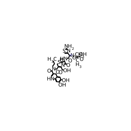 CCCCN(CC1=C(C(=O)O)N2C(=O)C(NC(=O)/C(=N\OC(C)(C)C(=O)O)c3csc(N)n3)[C@@H]2SC1)C(=O)c1c[nH]c2cc(O)c(O)cc2c1=O